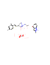 Cc1cc(C)c2cc(C3CCN(C[C@H](O)COc4cccc5[nH]c(C)cc45)CC3)sc2c1.O=C(O)C(=O)O